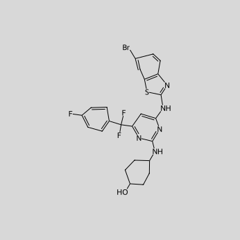 OC1CCC(Nc2nc(Nc3nc4ccc(Br)cc4s3)cc(C(F)(F)c3ccc(F)cc3)n2)CC1